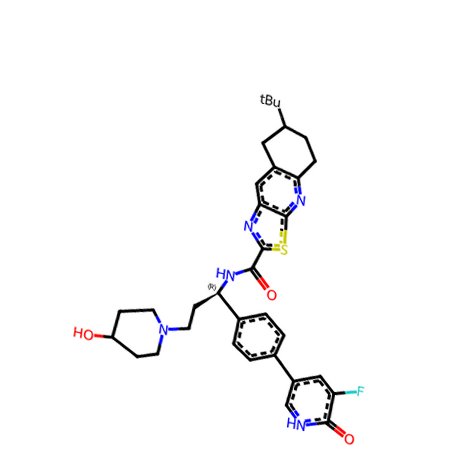 CC(C)(C)C1CCc2nc3sc(C(=O)N[C@H](CCN4CCC(O)CC4)c4ccc(-c5c[nH]c(=O)c(F)c5)cc4)nc3cc2C1